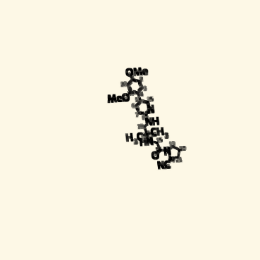 COc1ccc(-c2ccc(NCC(C)(C)NCC(=O)N3CCC[C@H]3C#N)nc2)c(OC)c1